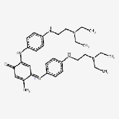 CCN(CC)CCNc1ccc(/N=C2\C=C(Nc3ccc(NCCN(CC)CC)cc3)C(=O)C=C2N)cc1